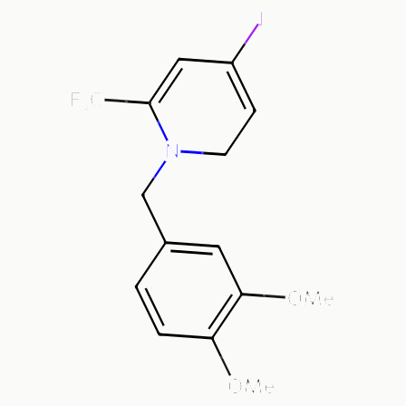 COc1ccc(CN2CC=C(I)C=C2C(F)(F)F)cc1OC